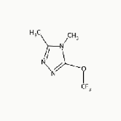 Cc1nnc(OC(F)(F)F)n1C